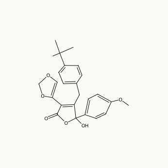 COc1ccc(C2(O)OC(=O)C(C3=COCO3)=C2Cc2ccc(C(C)(C)C)cc2)cc1